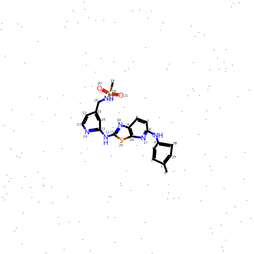 Cc1ccc(Nc2ccc3nc(Nc4cc(CNS(C)(=O)=O)ccn4)sc3n2)cc1